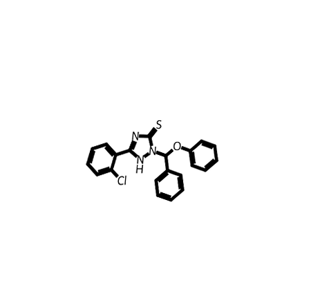 S=c1nc(-c2ccccc2Cl)[nH]n1C(Oc1ccccc1)c1ccccc1